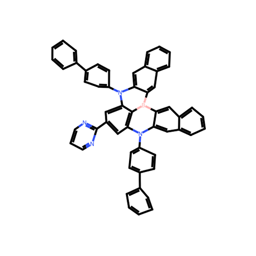 c1ccc(-c2ccc(N3c4cc5ccccc5cc4B4c5cc6ccccc6cc5N(c5ccc(-c6ccccc6)cc5)c5cc(-c6ncccn6)cc3c54)cc2)cc1